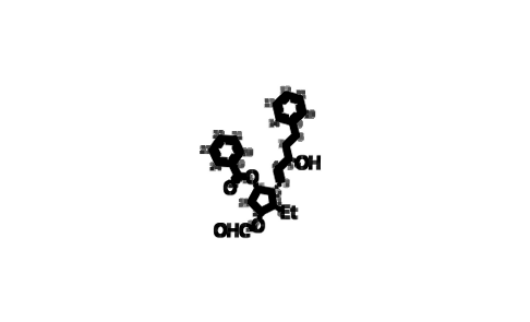 CC[C@@H]1[C@@H](/C=C/[C@@H](O)CCc2ccccc2)[C@H](OC(=O)c2ccccc2)C[C@@H]1OC=O